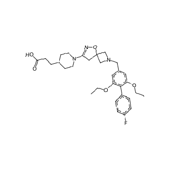 CCOc1cc(CN2CC3(CC(N4CCC(CCC(=O)O)CC4)=NO3)C2)cc(OCC)c1-c1ccc(F)cc1